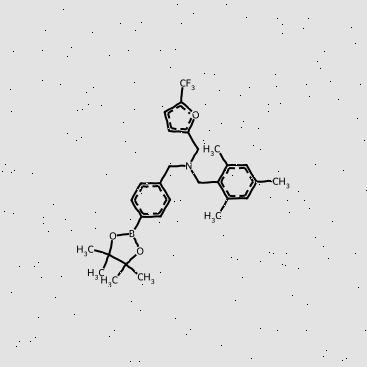 Cc1cc(C)c(CN(Cc2ccc(B3OC(C)(C)C(C)(C)O3)cc2)Cc2ccc(C(F)(F)F)o2)c(C)c1